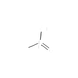 O=[PH](O)I